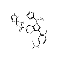 CC(c1nccs1)n1nc(-c2cc(OC(F)F)ccc2F)c2c1C[C@H](C(=O)NC1(C)C=CSO1)CC2